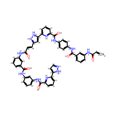 C=CC(=O)Nc1cccc(C(=O)Nc2ccc(NC(=O)c3cccc(-c4cc(/C=C/C(=O)Nc5cccc(C(=O)Nc6cccc(NC(=O)c7cccc(-c8ccn[nH]8)n7)c6)c5)n[nH]4)n3)cc2)c1